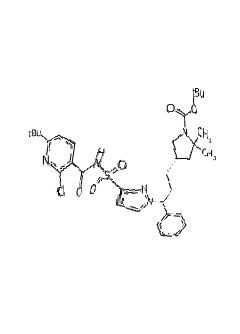 CC(C)(C)OC(=O)N1C[C@@H](CCC(c2ccccc2)n2ccc(S(=O)(=O)NC(=O)c3ccc(C(C)(C)C)nc3Cl)n2)CC1(C)C